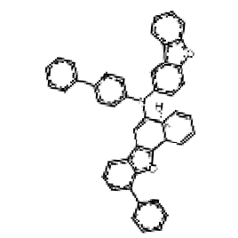 C1=CC2c3oc4c(-c5ccccc5)cccc4c3C=C(N(c3ccc(-c4ccccc4)cc3)c3ccc4oc5ccccc5c4c3)[C@H]2C=C1